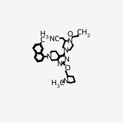 C=CC(=O)N1CCN(c2nc(OCC3CCCN3C)nc3c2CCN(c2cccc4ccc(C)cc24)C3)CC1CC#N